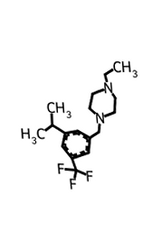 CCN1CCN(Cc2cc(C(C)C)cc(C(F)(F)F)c2)CC1